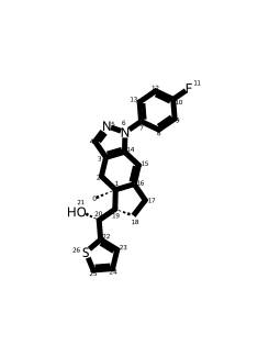 C[C@]12Cc3cnn(-c4ccc(F)cc4)c3C=C1CC[C@@H]2[C@@H](O)c1cccs1